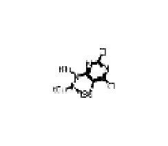 CC(C)(C)N(c1nc(Cl)nc(Cl)c1F)N(C(C)(C)C)C(C)(C)C